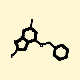 Cc1cc(OCc2ccccc2)c2cc(F)nn2c1